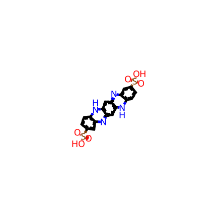 O=S(=O)(O)c1ccc2c(c1)N=c1cc3c(cc1N2)=Nc1cc(S(=O)(=O)O)ccc1N3